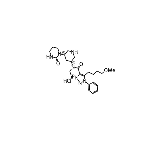 COCCCCc1c(C(=O)N(CC(C)C)[C@@H]2CNC[C@H](N3CCCNC3=O)C2)nnn1-c1ccccc1.Cl